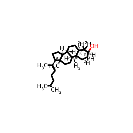 [2H]C1([2H])C[C@]2(C)[C@H]3CC[C@]4(C)[C@@H](C(C)CCCC(C)C)CC[C@H]4[C@@H]3CC[C@H]2C([2H])([2H])[C@@]1([2H])O